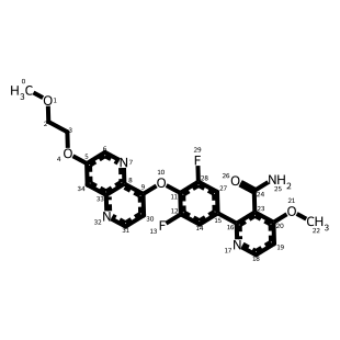 COCCOc1cnc2c(Oc3c(F)cc(-c4nccc(OC)c4C(N)=O)cc3F)ccnc2c1